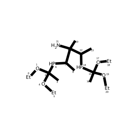 CCOC(C)(OCC)PC(C)C(C)(N)C(C)PC(C)(OCC)OCC